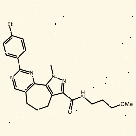 CCc1ccc(-c2ncc3c(n2)-c2c(c(C(=O)NCCCOC)nn2C)CCC3)cc1